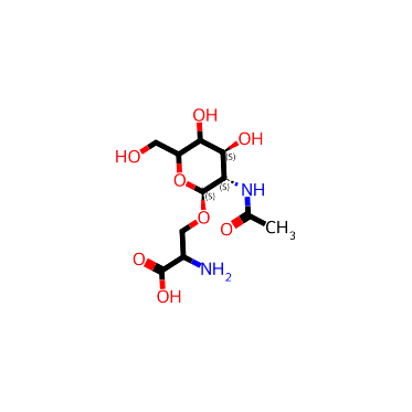 CC(=O)N[C@@H]1[C@@H](OCC(N)C(=O)O)OC(CO)C(O)[C@H]1O